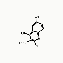 N#Cc1ccc2nc(Cl)c(C(=O)O)c(N)c2c1